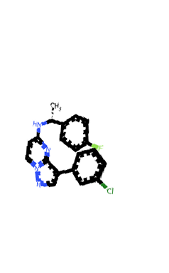 C[C@@H](Nc1ccn2ncc(-c3cccc(Cl)c3)c2n1)c1ccc(F)cc1